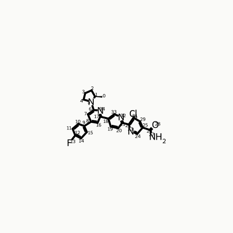 C[C@@H]1CCCN1c1cc(-c2ccc(F)cc2)cc(-c2ccc(-c3ncc(C(N)=O)cc3Cl)nc2)n1